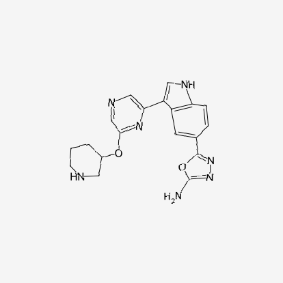 Nc1nnc(-c2ccc3[nH]cc(-c4cncc(OC5CCCNC5)n4)c3c2)o1